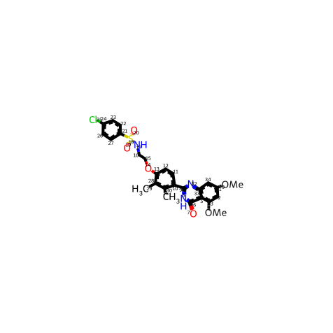 COc1cc(OC)c2c(=O)[nH]c(-c3ccc(OCCNS(=O)(=O)c4ccc(Cl)cc4)c(C)c3C)nc2c1